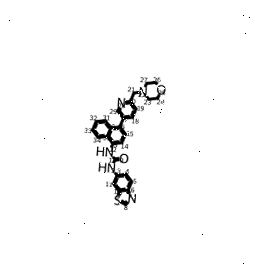 O=C(Nc1ccc2ncsc2c1)Nc1ccc(-c2ccc(CN3CCOCC3)nc2)c2ccccc12